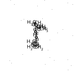 C=C(C)C(=O)OCC(CC)(CCOc1ccc(/C(F)=C(\F)c2ccc(OCCC3(CC)COC(=O)C(=C)C(=C)C(=O)OC3)cc2)cc1)COC(=O)C(=C)C